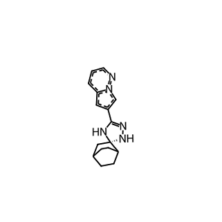 c1cnn2cc(C3=NN[C@]4(CC5CCC4CC5)N3)cc2c1